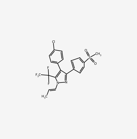 CC=Cn1nc(-c2ccc(S(C)(=O)=O)cc2)c(-c2ccc(Cl)cc2)c1C(F)(F)C(F)(F)F